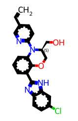 C=Cc1ccc(N2c3cccc(-c4nc5ccc(Cl)cc5[nH]4)c3OC[C@@H]2CO)nc1